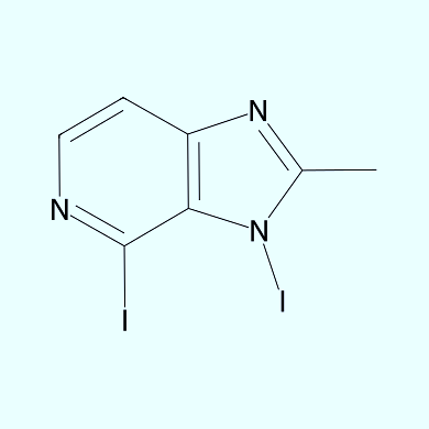 Cc1nc2ccnc(I)c2n1I